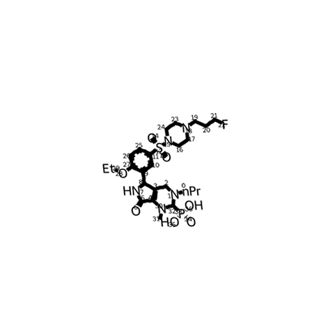 CCCN1CC2=C(C(=O)NC2c2cc(S(=O)(=O)N3CCN(CCCF)CC3)ccc2OCC)N(C)C1P(=O)(O)O